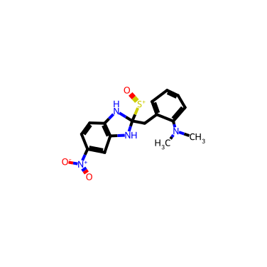 CN(C)c1ccccc1CC1([S+]=O)Nc2ccc([N+](=O)[O-])cc2N1